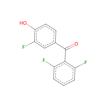 O=C(c1ccc(O)c(F)c1)c1c(F)cccc1F